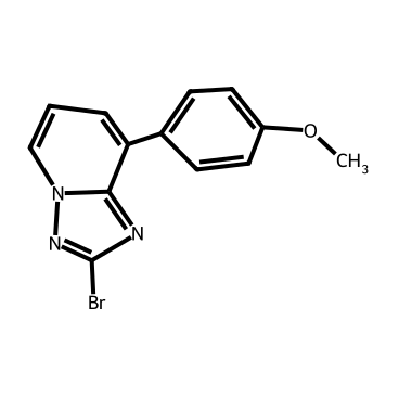 COc1ccc(-c2cccn3nc(Br)nc23)cc1